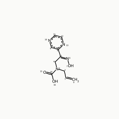 C=CCN(CC(=NO)c1cnccn1)C(=O)O